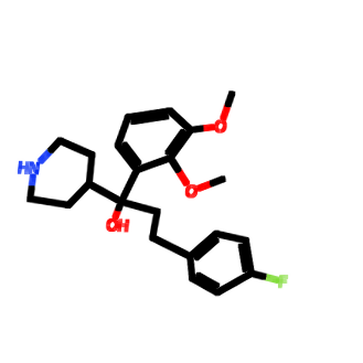 COc1cccc(C(O)(CCc2ccc(F)cc2)C2CCNCC2)c1OC